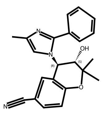 Cc1cn([C@@H]2c3cc(C#N)ccc3OC(C)(C)[C@H]2O)c(-c2ccccc2)n1